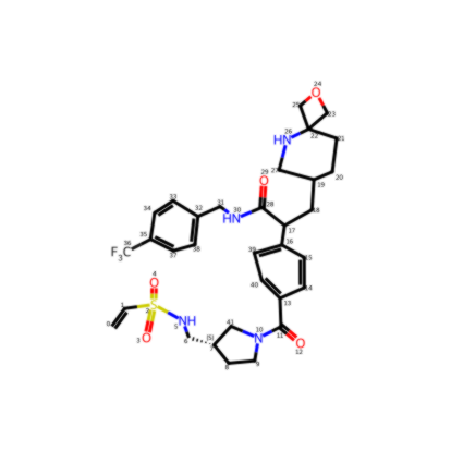 C=CS(=O)(=O)NC[C@H]1CCN(C(=O)c2ccc(C(CC3CCC4(COC4)NC3)C(=O)NCc3ccc(C(F)(F)F)cc3)cc2)C1